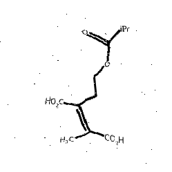 C/C(C(=O)O)=C(/CCOC(=O)C(C)C)C(=O)O